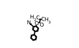 C=C(C)C(=O)Oc1ccc(-c2ccccc2)cc1C#N